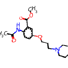 COC(=O)c1cc(OCCCN2CCCCC2)ccc1NC(C)=O